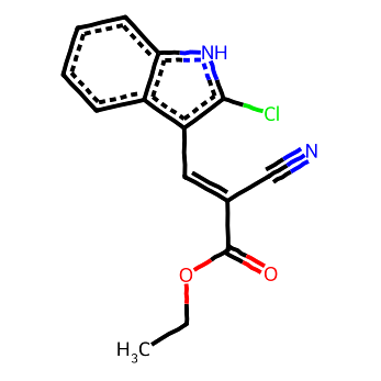 CCOC(=O)/C(C#N)=C/c1c(Cl)[nH]c2ccccc12